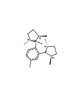 Cc1ccc([PH]2(C)[C@H](C)CC[C@H]2C)c(P2[C@H](C)CC[C@H]2C)c1